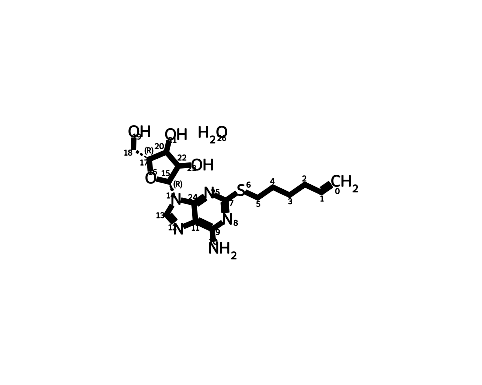 C=CCCCCSc1nc(N)c2ncn([C@@H]3O[C@H](CO)C(O)C3O)c2n1.O